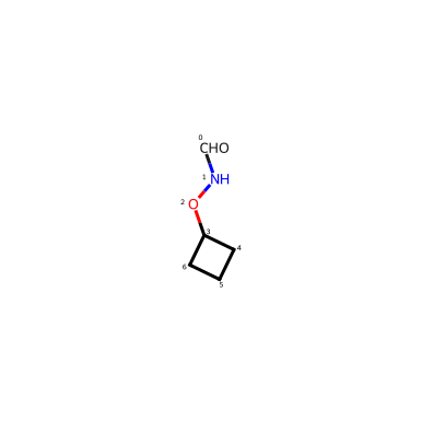 O=CNOC1CCC1